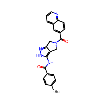 CC(C)(C)c1ccc(C(=O)Nc2[nH]nc3c2CN(C(=O)c2ccc4ncccc4c2)C3)cc1